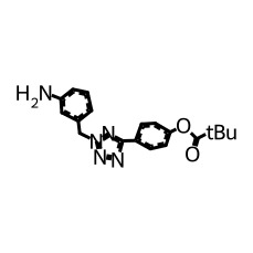 CC(C)(C)C(=O)Oc1ccc(-c2nnn(Cc3cccc(N)c3)n2)cc1